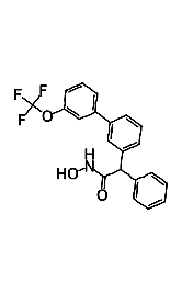 O=C(NO)C(c1ccccc1)c1cccc(-c2cccc(OC(F)(F)F)c2)c1